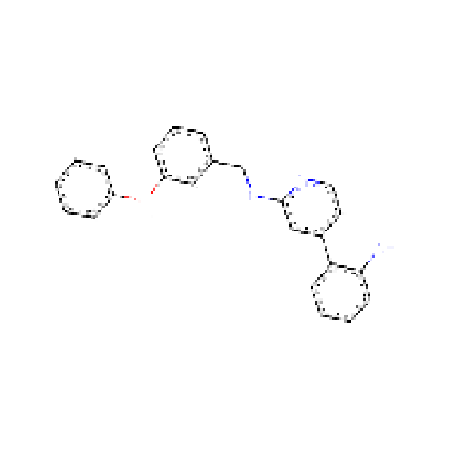 Nc1ccccc1-c1ccnc(NCc2cccc(Oc3ccccc3)c2)c1